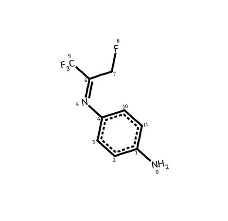 Nc1ccc(N=C(CF)C(F)(F)F)cc1